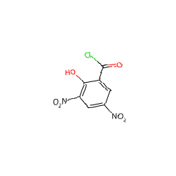 O=C(Cl)c1cc([N+](=O)[O-])cc([N+](=O)[O-])c1O